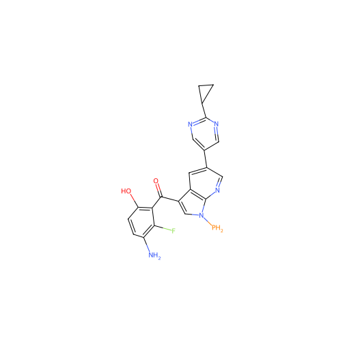 Nc1ccc(O)c(C(=O)c2cn(P)c3ncc(-c4cnc(C5CC5)nc4)cc23)c1F